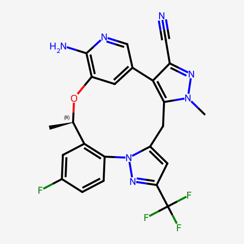 C[C@H]1Oc2cc(cnc2N)-c2c(C#N)nn(C)c2Cc2cc(C(F)(F)F)nn2-c2ccc(F)cc21